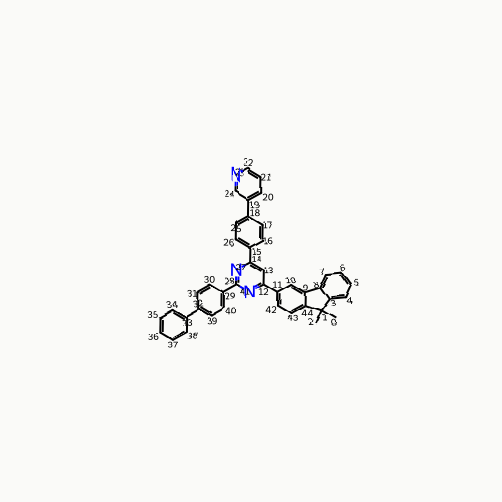 CC1(C)c2ccccc2-c2cc(-c3cc(-c4ccc(-c5cccnc5)cc4)nc(-c4ccc(-c5ccccc5)cc4)n3)ccc21